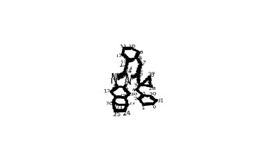 c1ccc(CC2(c3cc4ccccc4c4nc5cc6c(cc5n34)C3CCC6C3)CC2)cc1